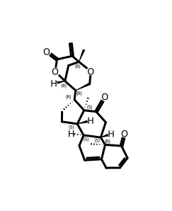 C=C1C(=O)O[C@@H]2C[C@@]1(C)OC[C@H]2[C@H]1CC[C@H]2[C@@H]3CC=C4CC=CC(=O)[C@]4(C)[C@H]3CC(=O)[C@]12C